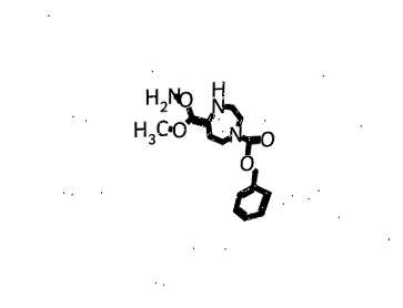 CO/C(ON)=C1\CCN(C(=O)OCc2ccccc2)CCN1